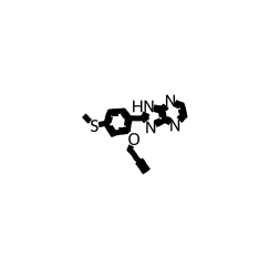 C#CCOc1cc(SC)ccc1-c1nc2nccnc2[nH]1